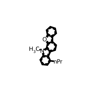 CCCc1cccc2c1c1ccc3c4ccccc4oc3c1n2C